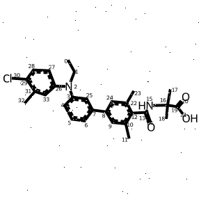 CCN(c1cccc(-c2cc(C)c(C(=O)NC(C)(C)C(=O)O)c(C)c2)c1)c1ccc(Cl)c(C)c1